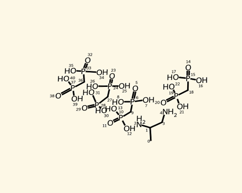 CC(N)CN.O=P(O)(O)CP(=O)(O)O.O=P(O)(O)CP(=O)(O)O.O=P(O)(O)CP(=O)(O)O.O=P(O)(O)CP(=O)(O)O